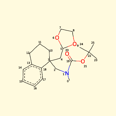 CN(CC1(CC2OCCO2)CCCc2ccccc21)C(=O)OC(C)(C)C